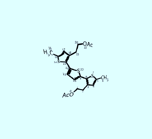 CC(=O)OCCc1cc(C)sc1-c1ccc(-c2sc(C)cc2CCOC(C)=O)s1